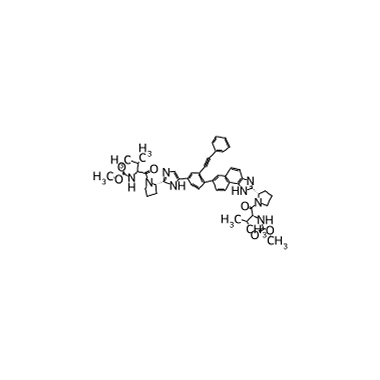 COC(=O)N[C@H](C(=O)N1CCC[C@H]1c1ncc(-c2ccc(-c3ccc4c(ccc5nc([C@@H]6CCCN6C(=O)[C@@H](NC(=O)OC)C(C)C)[nH]c54)c3)c(C#Cc3ccccc3)c2)[nH]1)C(C)C